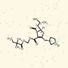 CCC(C)(C)C(=O)OCOC(=O)C1=C(S[C@H]2CC[S@@+]([O-])C2)S[C@@H]2[C@@H]([C@@H](C)O)C(=O)N12